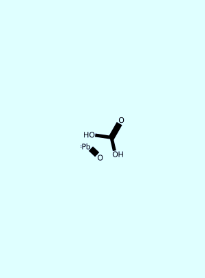 O=C(O)O.[O]=[Pb]